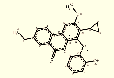 CCc1ccc2c(c1)c(=O)oc1c(Cc3ccccc3O)c(C3CC3)c(OC)cc12